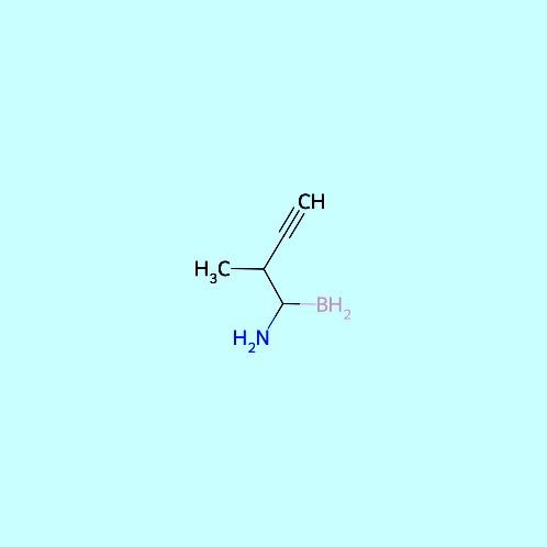 BC(N)C(C)C#C